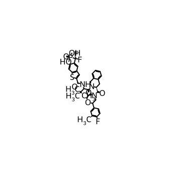 Cc1cc(C2CN(C(=O)[C@@H]3Cc4ccccc4CN3C(=O)C(NC(=O)c3cc4cc(C(F)(F)P(=O)(O)O)ccc4s3)C(C)(C)C)CCO2)ccc1F